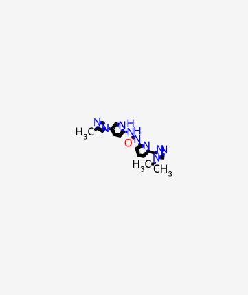 Cc1cn(-c2ccc(NC(=O)Nc3cccc(-c4nncn4C(C)C)n3)nc2)cn1